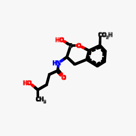 CC(O)CCC(=O)NC1Cc2cccc(C(=O)O)c2OB1O